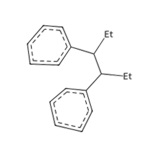 CCC(c1ccccc1)C(CC)c1ccccc1